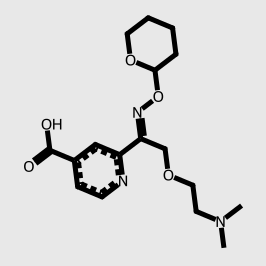 CN(C)CCOC/C(=N\OC1CCCCO1)c1cc(C(=O)O)ccn1